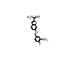 N=C(N)c1cc2ccc(OCc3ccc(F)c([N+](=O)[O-])c3)cc2s1